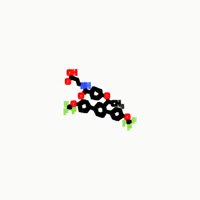 CC(Oc1ccc(C(=O)NCCC(=O)O)cc1)c1cc(-c2ccc(OC(F)(F)F)cc2)ccc1-c1ccc(OC(F)(F)F)cc1